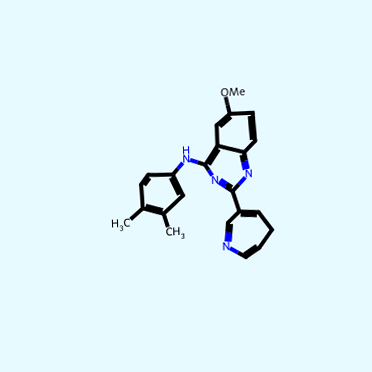 COc1ccc2nc(C3=CCC=CN=C3)nc(Nc3ccc(C)c(C)c3)c2c1